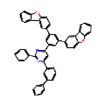 c1ccc(-c2cccc(-c3cc(-c4cc(-c5ccc6oc7ccccc7c6c5)cc(-c5ccc6oc7ccccc7c6c5)c4)nc(-c4ccccc4)n3)c2)cc1